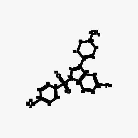 CN1CC=C(c2cn(S(=O)(=O)c3ccc(N)cc3)c3ccc(F)cc23)CC1